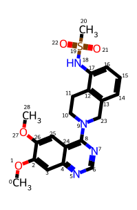 COc1cc2ncnc(N3CCc4c(cccc4NS(C)(=O)=O)C3)c2cc1OC